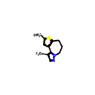 CCOC(=O)c1cc2c(s1)CCCn1ncc(C(F)(F)F)c1-2